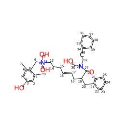 Cc1cc(O)cc(C)c1C[N+](O)(O)CCCC=CCC(Cc1ccccc1)C(=O)N(CO)CCc1ccccc1